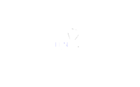 Nc1ccccc1[C@@H]1CCCO1